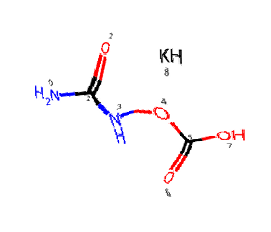 NC(=O)NOC(=O)O.[KH]